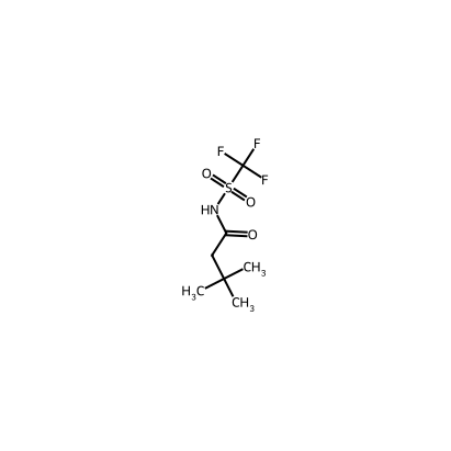 CC(C)(C)CC(=O)NS(=O)(=O)C(F)(F)F